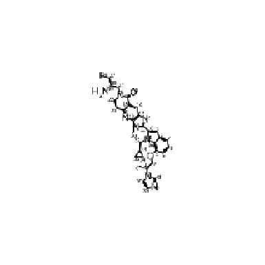 C[C@@H](COc1cccc2cc(-c3nc4cc5c(nc4n3C)CCN(C[C@H](N)CF)C5=O)n(CC3CC3)c12)n1ccnc1